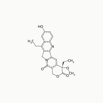 CCc1c2c(nc3ccc(O)cc13)-c1cc3c(c(=O)n1C2)COC(=O)[C@@]3(CC)OC